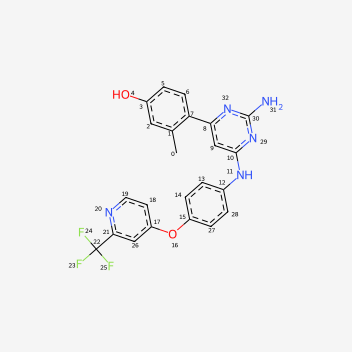 Cc1cc(O)ccc1-c1cc(Nc2ccc(Oc3ccnc(C(F)(F)F)c3)cc2)nc(N)n1